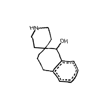 OC1c2ccccc2CCC12CCNCC2